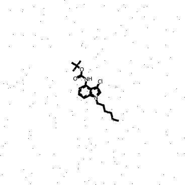 CCCCCCn1cc(Cl)c2c(NC(=O)OC(C)(C)C)cccc21